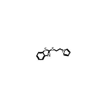 c1ccc2sc(SCCn3cccc3)nc2c1